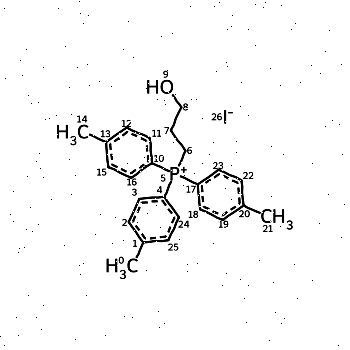 Cc1ccc([P+](CCCO)(c2ccc(C)cc2)c2ccc(C)cc2)cc1.[I-]